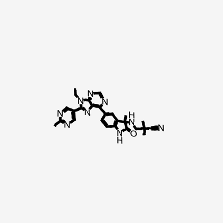 CCn1c(-c2cnc(C)nc2)nc2c(-c3ccc4c(c3)C(C)(NCC(C)(C)C#N)C(=O)N4)ncnc21